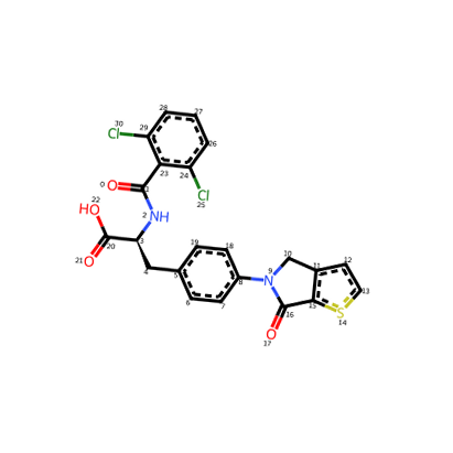 O=C(N[C@@H](Cc1ccc(N2Cc3ccsc3C2=O)cc1)C(=O)O)c1c(Cl)cccc1Cl